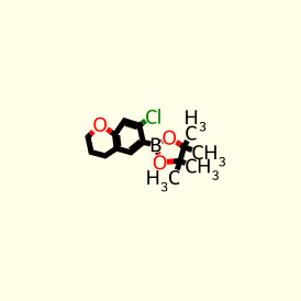 CC1(C)OB(c2cc3c(cc2Cl)OCCC3)OC1(C)C